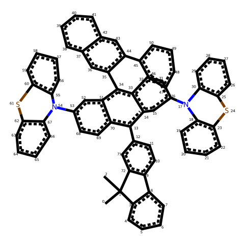 CC1(C)c2ccccc2-c2ccc(-c3c4cc(N5c6ccccc6Sc6ccccc65)ccc4c(-c4cc5ccccc5cc4-c4ccccc4)c4cc(N5c6ccccc6Sc6ccccc65)ccc34)cc21